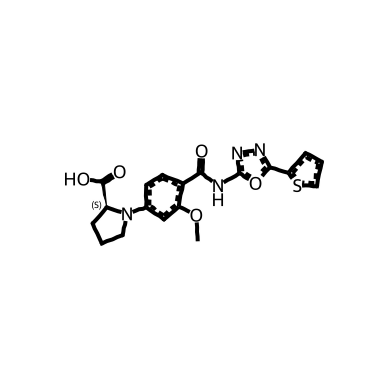 COc1cc(N2CCC[C@H]2C(=O)O)ccc1C(=O)Nc1nnc(-c2cccs2)o1